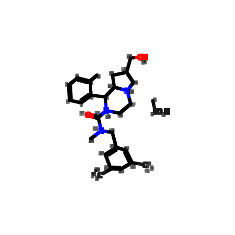 CS(=O)(=O)O.Cc1ccccc1C1C2CC(CO)CN2CCN1C(=O)N(C)Cc1cc(C(F)(F)F)cc(C(F)(F)F)c1